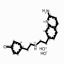 Cl.Cl.Nc1ccc2ccc(CCNCCc3ccc(Cl)cc3)cc2n1